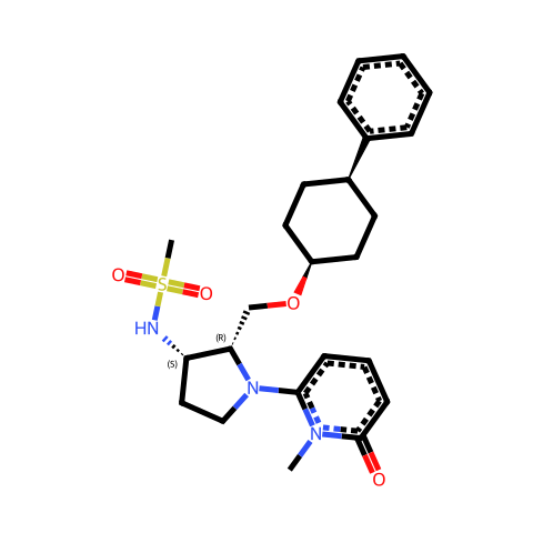 Cn1c(N2CC[C@H](NS(C)(=O)=O)[C@@H]2CO[C@H]2CC[C@@H](c3ccccc3)CC2)cccc1=O